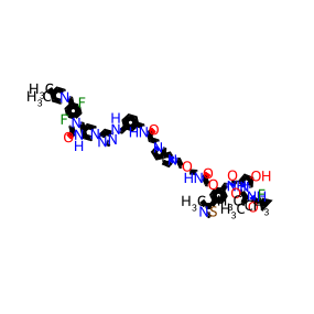 Cc1ncsc1-c1ccc(CNC(=O)[C@@H]2C[C@@H](O)CN2C(=O)[C@@H](NC(=O)C2(F)CC2)C(C)(C)C)c(OCC(=O)NCCOCCN2CC[C@@]3(CCN(CCC(=O)NCc4cccc(CNc5cc(N6CCC7(CC6)CN(c6cc(F)c(CN8CCC(C)(C)CC8)cc6F)CC(=O)N7)ncn5)c4)C3)C2)c1